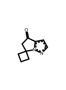 O=C1CC2(CCC2)n2nccc21